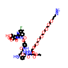 C=CCOC(=O)CCC(NC(=O)CCOCCOCCOCCOCCOCCOCCOCCOCCCCCN=[N+]=[N-])C(=O)N[C@@H](Cc1ccccc1)C(=O)N[C@@H](CCCCNC)C(=O)Nc1ccc(COC(=O)N[C@H]2CCc3c(C)c(F)cc4nc5c(c2c34)Cn2c-5cc3c(c2=O)COC(=O)[C@]3(O)CC)cc1